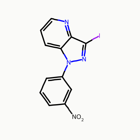 O=[N+]([O-])c1cccc(-n2nc(I)c3ncccc32)c1